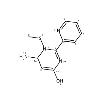 CSN1C(c2ccccn2)=NC(O)=CC1N